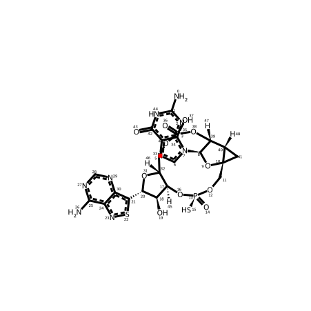 Nc1nc2c(ncn2[C@@H]2O[C@]34CO[P@@](=O)(S)O[C@H]5[C@@H](O)[C@H](c6snc7c(N)ncnc67)O[C@@H]5COP(=O)(O)O[C@@H]2[C@@H]3C4)c(=O)[nH]1